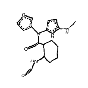 CNc1ccc(N(C(=O)C2CCCCC2NC=O)c2ccoc2)[nH]1